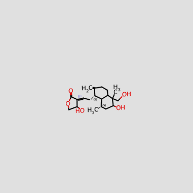 C=C1CCC2C([C@@H]1C/C=C1/C(=O)OCC1O)[C@@H](C)CC(O)C2(C)CO